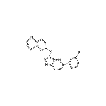 Fc1cccc(-c2ccc3nnc(Sc4ccc5ncccc5c4)n3n2)c1